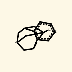 CC12C[C]3CC(C1)c1ccccc1C(C3)C2